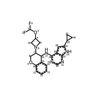 FC(F)OC1CN(C2COc3ccccc3C2Nc2ncnc3[nH]c(C4CC4)cc23)C1